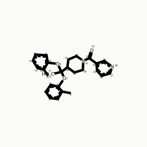 Cc1ccccc1OC(Oc1ccccc1C)(C(=O)O)C1CCN(C(=O)c2cccnc2)CC1